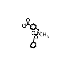 CN(Cc1ccc(C(=O)Cl)cc1)C(=O)OCc1ccccc1